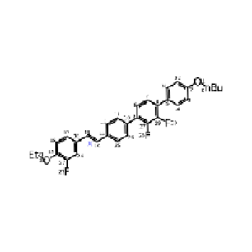 CCCCOc1ccc(-c2ccc(-c3ccc(/C=C/c4ccc(OCC)c(F)c4)cc3)c(F)c2F)cc1